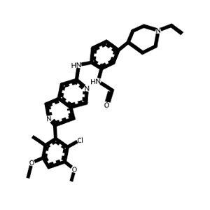 CCN1CCC(c2ccc(Nc3cc4cnc(-c5c(C)c(OC)cc(OC)c5Cl)cc4cn3)c(NC=O)c2)CC1